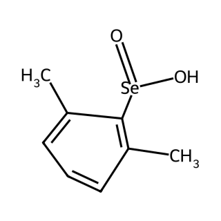 Cc1cccc(C)c1[Se](=O)O